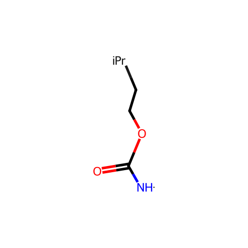 CC(C)CCOC([NH])=O